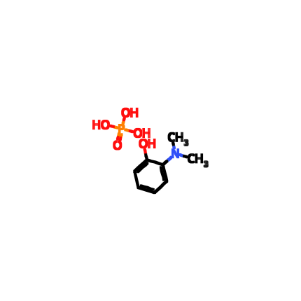 CN(C)c1ccccc1O.O=P(O)(O)O